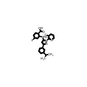 Cc1cccnc1-n1nc(-c2cccc(C(C)C)c2)cc1Nc1cc(F)ccc1C(=O)O